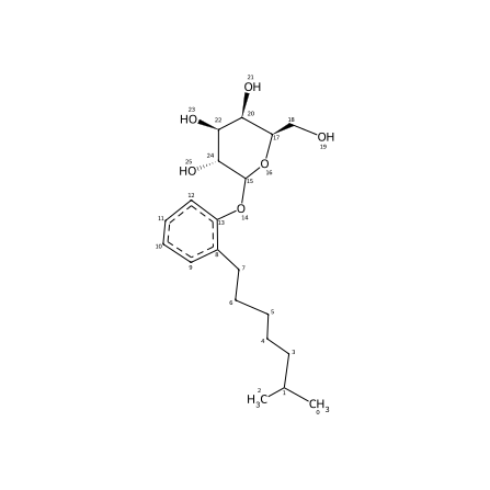 CC(C)CCCCCc1ccccc1OC1O[C@H](CO)[C@H](O)[C@H](O)[C@H]1O